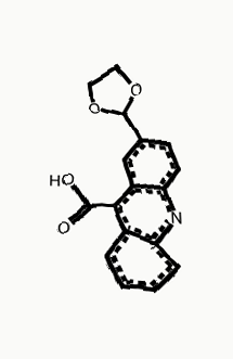 O=C(O)c1c2ccccc2nc2ccc(C3OCCO3)cc12